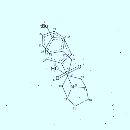 CC(C)(C)c1ccc(S(=O)(=O)N2C3CCC2CC(O)(Cc2ccccc2)C3)cc1